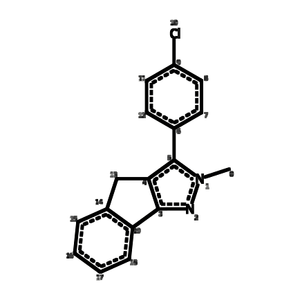 Cn1nc2c(c1-c1ccc(Cl)cc1)Cc1ccccc1-2